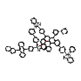 c1ccc(-c2cccc(-c3c4cc(-c5ccc(-c6nc7ccccc7n6-c6cccc(-c7ccc(-n8c(-c9ccc(-c%10c%11ccccc%11c(-c%11ccc%12ccccc%12c%11)c%11ccccc%10%11)cc9)nc9ccccc98)cc7)c6)cc5)ccc4c(-c4ccccc4-c4ccccc4)c4cc(-c5ccc(-c6nc7ccccc7n6-c6ccccc6)cc5)ccc34)c2)cc1